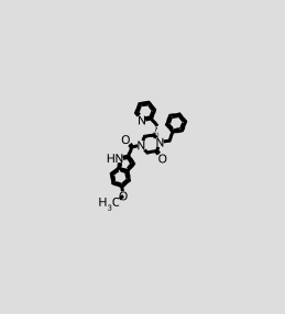 COc1ccc2[nH]c(C(=O)N3CC(=O)N(Cc4ccccc4)[C@@H](Cc4ccccn4)C3)cc2c1